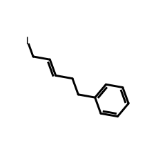 ICC=CCCc1ccccc1